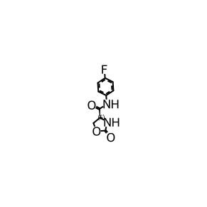 O=C1N[C@H](C(=O)Nc2ccc(F)cc2)CO1